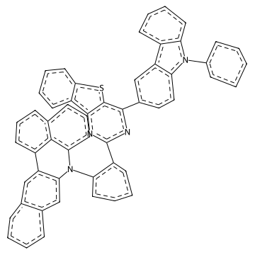 c1ccc(-n2c3ccccc3c3cc(-c4nc(-c5ccccc5N5c6cc7ccccc7cc6-c6cccc7cccc5c67)nc5c4sc4ccccc45)ccc32)cc1